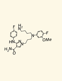 COc1cc(N(CCCCN)CCCn2cc(C(N)=O)c(Nc3ccc(F)cc3)n2)ccc1F